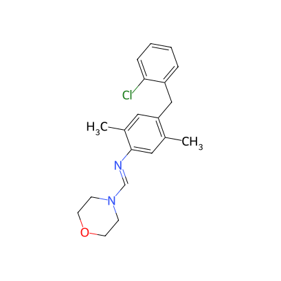 Cc1cc(N=CN2CCOCC2)c(C)cc1Cc1ccccc1Cl